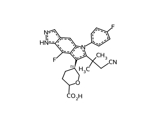 CC(C)(CC#N)c1c([C@@H]2CCC(C(=O)O)OC2)c2c(F)c3[nH]ncc3cc2n1-c1ccc(F)cc1